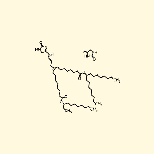 CCCCCCCCC(CC)OC(=O)CCCCCCCN(CCCCCCCC(=O)OC(CCCCCCCC)CCCCCCCC)CCCNC1=NC(=O)NC1.O=C1NCC(=S)N1